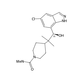 CNC(=O)N1CCC(C(C)(C)[C@H](O)c2cc(Cl)cc3cn[nH]c23)CC1